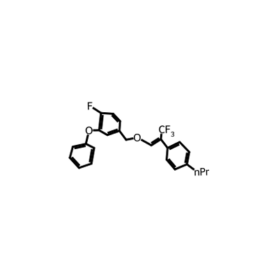 CCCc1ccc(/C(=C/OCc2ccc(F)c(Oc3ccccc3)c2)C(F)(F)F)cc1